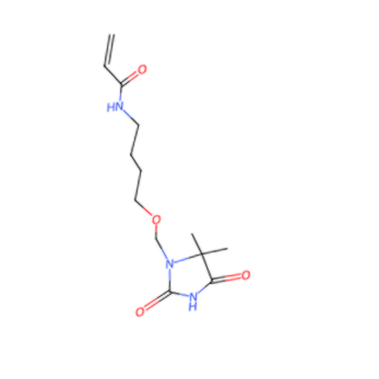 C=CC(=O)NCCCCOCN1C(=O)NC(=O)C1(C)C